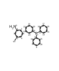 Nc1cccc(I)c1.c1ccc(P(c2ccccc2)c2ccccc2)cc1